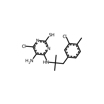 Cc1ccc(CC(C)(C)Nc2nc(S)nc(Cl)c2N)cc1Cl